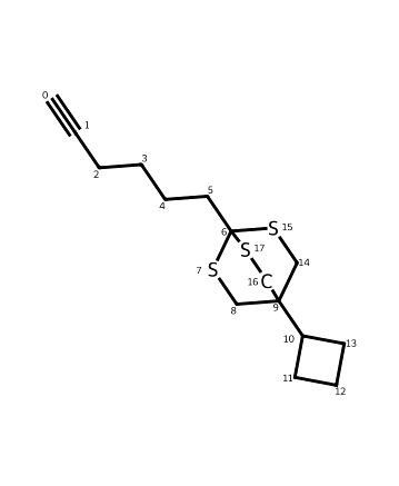 C#CCCCCC12SCC(C3CCC3)(CS1)CS2